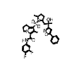 Cc1c(S(=O)(=O)N2C(C)CCC2CC(C)(O)c2cc(-c3ccccc3)on2)c2n(c1C(=O)Nc1ccc(F)c(F)c1)CCC2